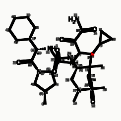 C[C@@H]1C[C@@H](C(=O)NC(CC2CC2)C(=O)C(N)=O)N(C(=O)[C@@H](NC(=O)N[C@H](CN(C)S(C)(=O)=O)C(C)(C)C)C2CCCCC2)C1